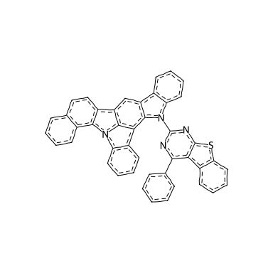 c1ccc(-c2nc(-n3c4ccccc4c4cc5c6ccc7ccccc7c6n6c7ccccc7c(c43)c56)nc3sc4ccccc4c23)cc1